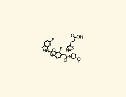 CO[C@H]1C[C@@H](c2ncc(CCC(=O)O)s2)N(C(=O)Cc2ccc3nc(Nc4cc(F)ccc4C)oc3c2F)C1